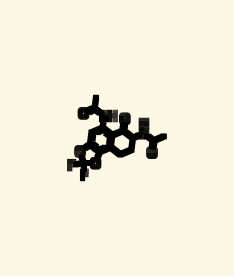 CC(=O)Nc1cc2c(c3c1C(=O)C(NC(C)=O)CC3)OC(F)(F)O2